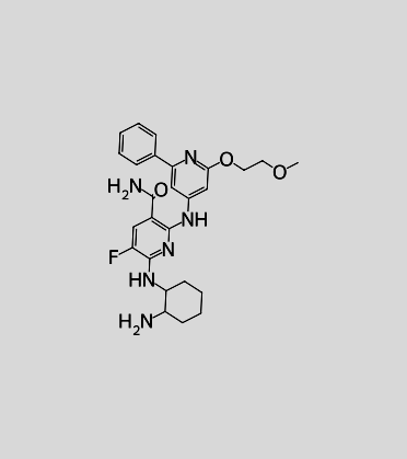 COCCOc1cc(Nc2nc(NC3CCCCC3N)c(F)cc2C(N)=O)cc(-c2ccccc2)n1